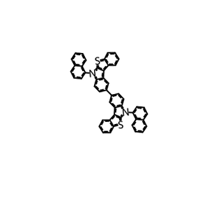 c1ccc2c(-n3c4ccc(-c5ccc6c(c5)c5c7ccccc7sc5n6-c5cccc6ccccc56)cc4c4c5ccccc5sc43)cccc2c1